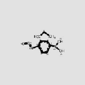 CCC.O=S=Nc1ccc(B(O)O)cc1